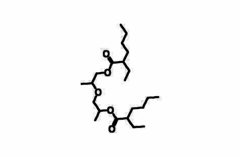 CCCCC(CC)C(=O)OCC(C)OCC(C)OC(=O)C(CC)CCCC